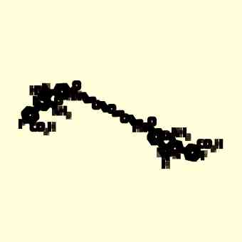 NC(=O)c1cc(-c2ccc(F)c(C(=O)O)c2)nc2[nH]nc(-c3ccc(C(=O)NCCCOCCOCCOCCCNC(=O)c4ccc(-c5n[nH]c6nc(-c7ccc(F)c(C(=O)O)c7)cc(C(N)=O)c56)cc4)cc3)c12